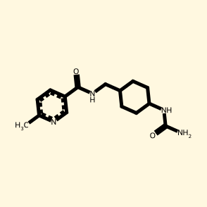 Cc1ccc(C(=O)NCC2CCC(NC(N)=O)CC2)cn1